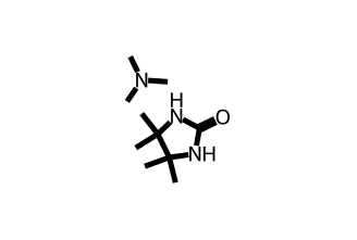 CC1(C)NC(=O)NC1(C)C.CN(C)C